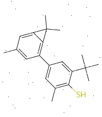 Cc1cc(-c2cc(C)c(S)c(C(C)(C)C)c2)c2c(c1)C2(C)C